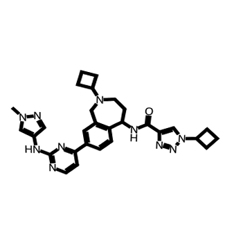 Cn1cc(Nc2nccc(-c3ccc4c(c3)CN(C3CCC3)CCC4NC(=O)c3cn(C4CCC4)nn3)n2)cn1